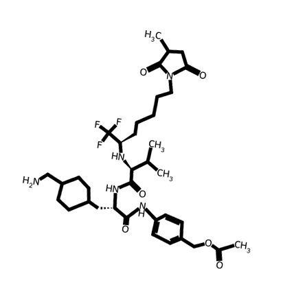 CC(=O)OCc1ccc(NC(=O)[C@H](CC2CCC(CN)CC2)NC(=O)[C@@H](N[C@H](CCCCCN2C(=O)CC(C)C2=O)C(F)(F)F)C(C)C)cc1